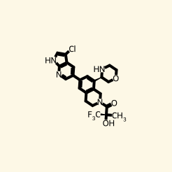 C[C@](O)(C(=O)N1CCc2cc(-c3cnc4[nH]cc(Cl)c4c3)cc([C@@H]3COCCN3)c2C1)C(F)(F)F